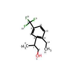 [CH2]C(CO)c1cc(C(F)(F)F)ccc1CC